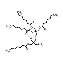 CCCCCCC(=O)OCC(CC)(CC)COCC(COC(=O)CCCCCC)(COC(=O)CCCCCC)COC(=O)CCCCCC